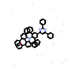 c1ccc(-c2cc(-c3cc(-c4ccccc4)c(-n4c5c(-c6ccccc6)ccc(-c6ccccc6)c5c5c(-c6ccccc6)ccc(-c6ccccc6)c54)c(-c4ccccc4)c3)nc(-c3ccccc3)n2)cc1